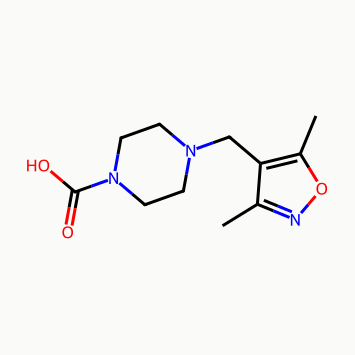 Cc1noc(C)c1CN1CCN(C(=O)O)CC1